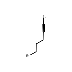 CCC#CCCCC(C)C